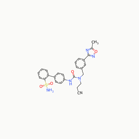 Cc1nc(-c2cccc(CN(CCC#N)C(=O)Nc3ccc(-c4ccccc4S(N)(=O)=O)cc3)c2)no1